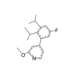 COc1cc(-c2cc(F)cc(C(C)C)c2C(C)C)ccn1